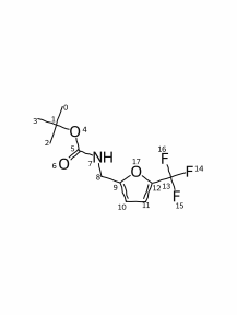 CC(C)(C)OC(=O)NCc1ccc(C(F)(F)F)o1